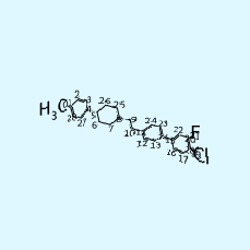 Cc1ccc([C@H]2CC[C@H](CCc3ccc(-c4ccc(Cl)c(F)c4)cc3)CC2)cc1